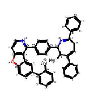 CC1C(c2ccccc2)=CCC(c2ccccc2)=NC1c1ccc(-c2nccc3oc4ccc(-c5ccccc5C#N)cc4c23)cc1